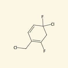 FC1=C(CCl)C=CC(F)(Cl)C1